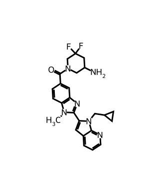 Cn1c(-c2cc3cccnc3n2CC2CC2)nc2cc(C(=O)N3CC(N)CC(F)(F)C3)ccc21